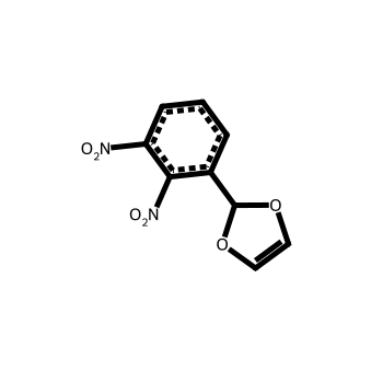 O=[N+]([O-])c1cccc(C2OC=CO2)c1[N+](=O)[O-]